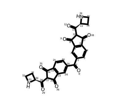 O=C(c1ccc2c(c1)C(=O)C(C(=O)[C@@H]1CCN1)C2=O)c1ccc2c(c1)C(=O)C(C(=O)[C@@H]1CCN1)C2=O